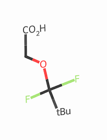 CC(C)(C)C(F)(F)OCC(=O)O